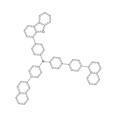 c1ccc2cc(-c3ccc(N(c4ccc(-c5ccc(-c6cccc7ccccc67)cc5)cc4)c4ccc(-c5cccc6c5oc5ccccc56)cc4)cc3)ccc2c1